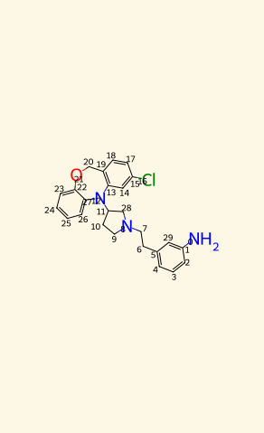 Nc1cccc(CCN2CCC(N3c4cc(Cl)ccc4COc4ccccc43)C2)c1